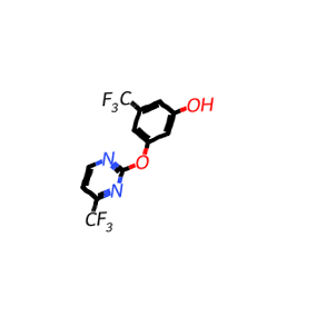 Oc1cc(Oc2nccc(C(F)(F)F)n2)cc(C(F)(F)F)c1